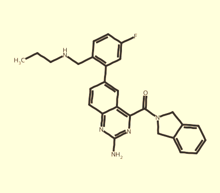 CCCNCc1ccc(F)cc1-c1ccc2nc(N)nc(C(=O)N3Cc4ccccc4C3)c2c1